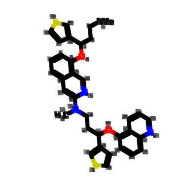 CNCCC(Oc1cccc2cc(N(C)CCC(Oc3cccc4ncccc34)c3ccsc3)ncc12)c1ccsc1